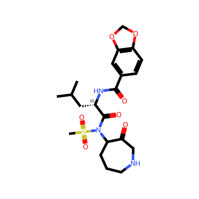 CC(C)C[C@H](NC(=O)c1ccc2c(c1)OCO2)C(=O)N(C1CCCNCC1=O)S(C)(=O)=O